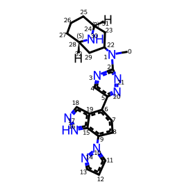 CN(c1ncc(-c2ccc(-n3cccn3)c3[nH]ncc23)nn1)C1C[C@H]2CCC[C@@H](C1)N2